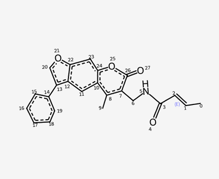 C/C=C/C(=O)NCc1c(C)c2cc3c(-c4ccccc4)coc3cc2oc1=O